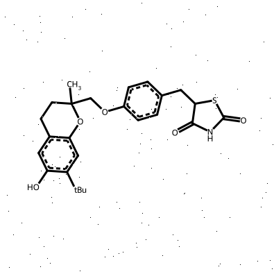 CC1(COc2ccc(CC3SC(=O)NC3=O)cc2)CCc2cc(O)c(C(C)(C)C)cc2O1